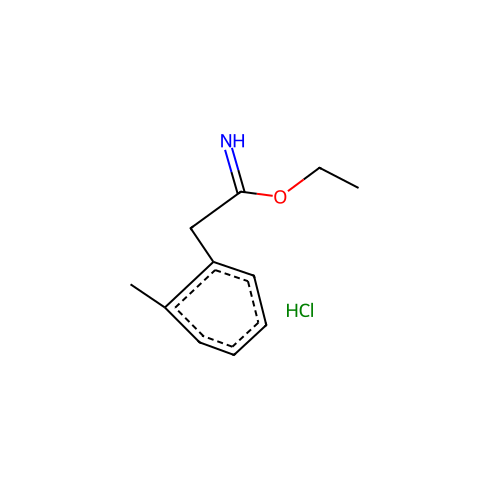 CCOC(=N)Cc1ccccc1C.Cl